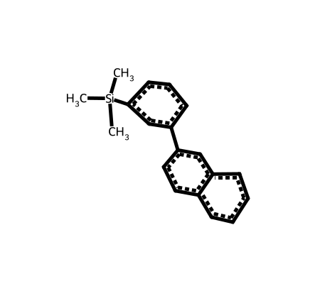 C[Si](C)(C)c1cccc(-c2ccc3ccccc3c2)c1